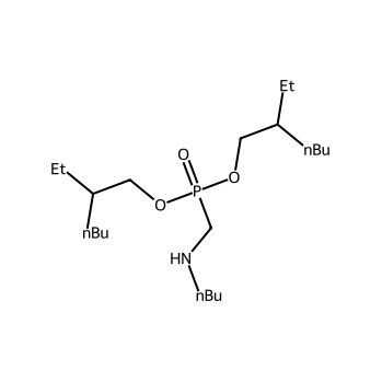 CCCCNCP(=O)(OCC(CC)CCCC)OCC(CC)CCCC